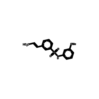 COc1cccc(NS(=O)(=O)c2cccc(C=CC(=O)O)c2)c1